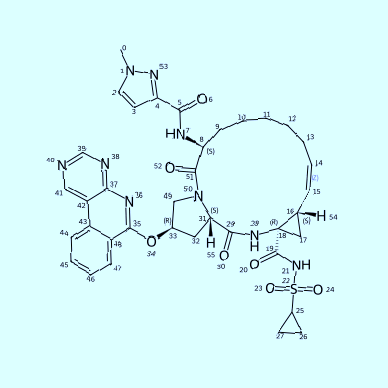 Cn1ccc(C(=O)N[C@H]2CCCCC/C=C\[C@@H]3C[C@@]3(C(=O)NS(=O)(=O)C3CC3)NC(=O)[C@@H]3C[C@@H](Oc4nc5ncncc5c5ccccc45)CN3C2=O)n1